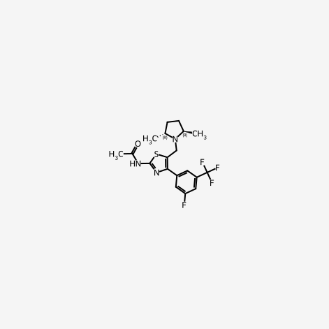 CC(=O)Nc1nc(-c2cc(F)cc(C(F)(F)F)c2)c(CN2[C@H](C)CC[C@H]2C)s1